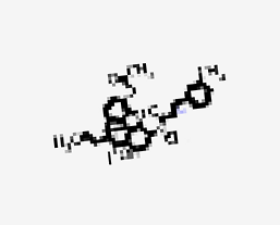 C=CCN1CC[C@]23c4c5ccc(OC(C)=O)c4OC2C(N(C)C(=O)/C=C/c2cccc(C)c2)CC[C@@]3(O)[C@H]1C5